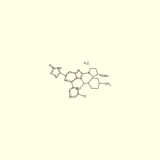 CO[C@@H]1C[C@@H](C)N(c2nc3cc(-c4noc(=O)[nH]4)nc(-c4cncc(Cl)c4)c3n2C(C)C2CCC(C)CC2)C1